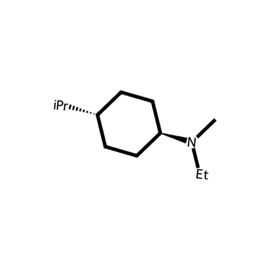 CCN(C)[C@H]1CC[C@H](C(C)C)CC1